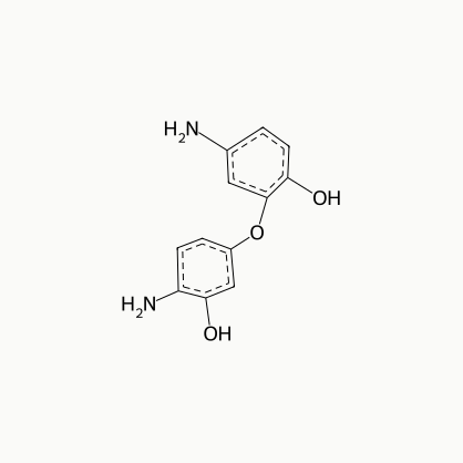 Nc1ccc(O)c(Oc2ccc(N)c(O)c2)c1